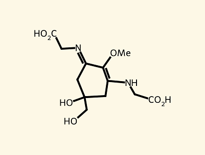 COC1=C(NCC(=O)O)CC(O)(CO)CC1=NCC(=O)O